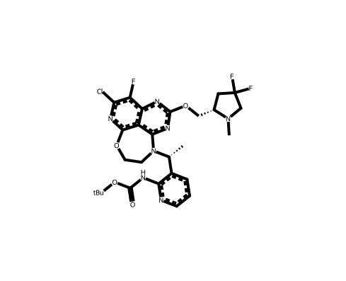 C[C@H](c1cccnc1NC(=O)OC(C)(C)C)N1CCOc2nc(Cl)c(F)c3nc(OC[C@@H]4CC(F)(F)CN4C)nc1c23